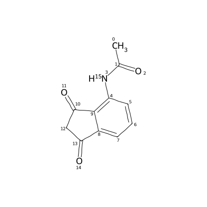 CC(=O)[15NH]c1cccc2c1C(=O)CC2=O